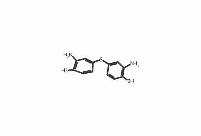 Nc1cc(Sc2ccc(S)c(N)c2)ccc1S